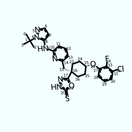 CC(C)(C)n1nccc1Nc1cccc(C[C@]2(c3n[nH]c(=S)o3)CC[C@H](Oc3cccc(Cl)c3F)CC2)n1